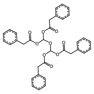 O=C(Cc1ccccc1)OC(OC(=O)Cc1ccccc1)OC(OC(=O)Cc1ccccc1)OC(=O)Cc1ccccc1